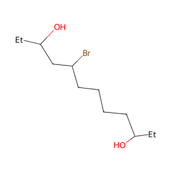 CCC(O)CCCCC(Br)CC(O)CC